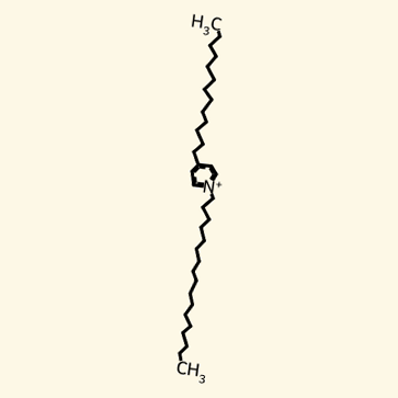 CCCCCCCCCCCCCCCCC[n+]1ccc(CCCCCCCCCCCCC)cc1